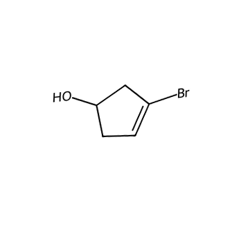 OC1CC=C(Br)C1